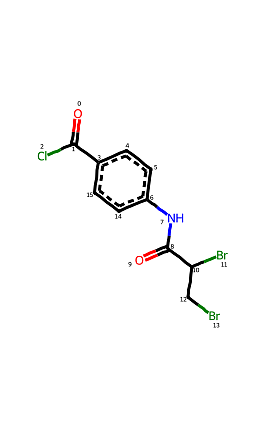 O=C(Cl)c1ccc(NC(=O)C(Br)CBr)cc1